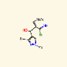 CCn1cc(C(O)/C(=C/NC)C(=N)Br)c(C(C)C)n1